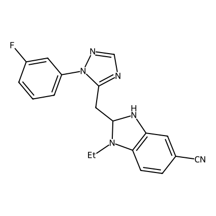 CCN1c2ccc(C#N)cc2NC1Cc1ncnn1-c1cccc(F)c1